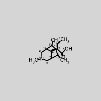 CCC(C(=O)O)=C1C2CN(C)CC1C(C)CC2C